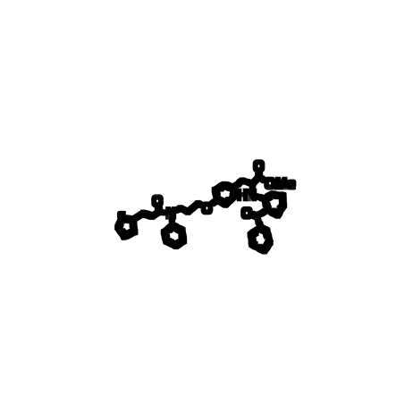 COC(=O)C(Cc1ccc(OCCCN(C(=O)C=Cc2cccs2)c2ccccc2)cc1)Nc1ccccc1C(=O)c1ccccc1